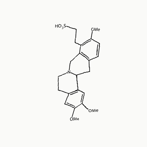 COc1cc2c(cc1OC)C1Cc3ccc(OC)c(CCS(=O)(=O)O)c3CN1CC2